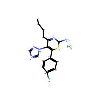 CCCCC1=NC(N)SC(c2ccc(Cl)cc2)=C1n1cncn1.Cl